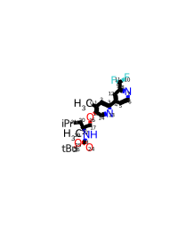 Cc1cc(-c2ccnc(C(F)F)c2)ncc1OCC(C)(CC(C)C)NC(=O)OC(C)(C)C